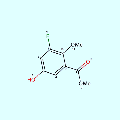 COC(=O)c1cc(O)cc(F)c1OC